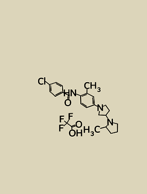 Cc1cc(N2CCC(N3CCCC3C)C2)ccc1NC(=O)c1ccc(Cl)cc1.O=C(O)C(F)(F)F